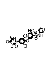 Cc1nn(-c2cc(Cl)c(Oc3cc(S(=O)(=O)N[C@@H]4CCOC4)c(O)cn3)c(Cl)c2)c(=O)[nH]c1=O